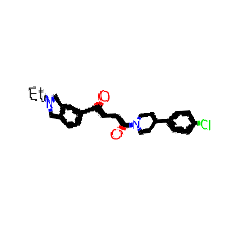 CCN1Cc2ccc(C(=O)CCC(=O)N3CCC(c4ccc(Cl)cc4)CC3)cc2C1